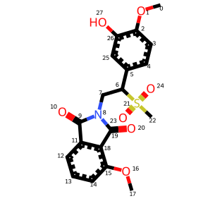 COc1ccc(C(CN2C(=O)c3cccc(OC)c3C2=O)S(C)(=O)=O)cc1O